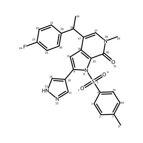 Cc1ccc(S(=O)(=O)n2c(-c3cn[nH]c3)cc3c(C(C)c4ccc(F)cc4)cn(C)c(=O)c32)cc1